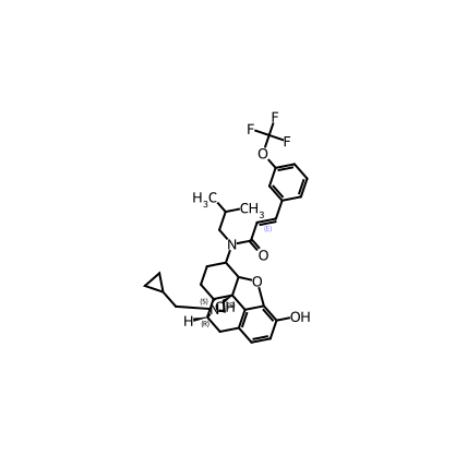 CC(C)CN(C(=O)/C=C/c1cccc(OC(F)(F)F)c1)C1CC[C@@]2(O)[C@H]3Cc4ccc(O)c5c4[C@@]2(CCN3CC2CC2)C1O5